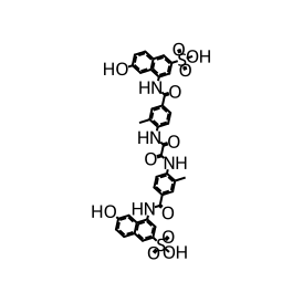 Cc1cc(C(=O)Nc2cc(S(=O)(=O)O)cc3ccc(O)cc23)ccc1NC(=O)C(=O)Nc1ccc(C(=O)Nc2cc(S(=O)(=O)O)cc3ccc(O)cc23)cc1C